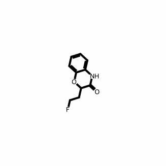 O=C1Nc2ccccc2OC1CCF